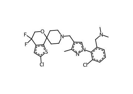 Cc1nn(-c2c(Cl)cccc2CN(C)C)cc1CN1CCC2(CC1)OCC(F)(F)c1cc(Cl)sc12